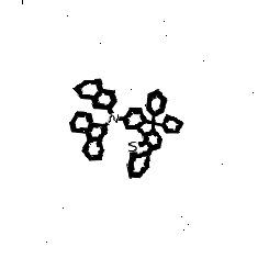 c1ccc(C2(c3ccccc3)c3ccc(N(c4ccc5ccccc5c4)c4cc5ccccc5c5ccccc45)cc3-c3c2ccc2c3sc3ccccc32)cc1